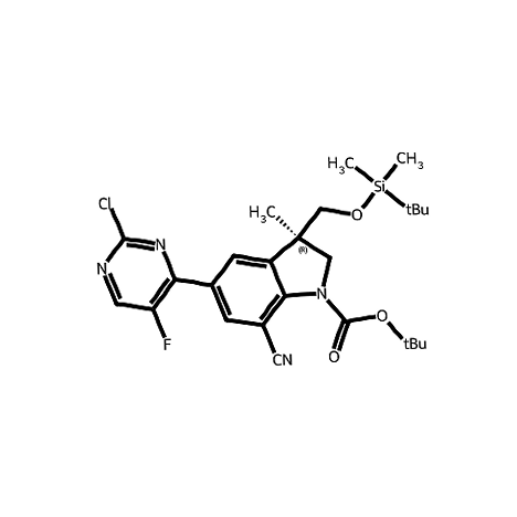 CC(C)(C)OC(=O)N1C[C@](C)(CO[Si](C)(C)C(C)(C)C)c2cc(-c3nc(Cl)ncc3F)cc(C#N)c21